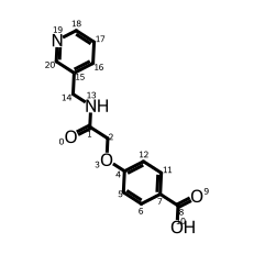 O=C(COc1ccc(C(=O)O)cc1)NCc1cccnc1